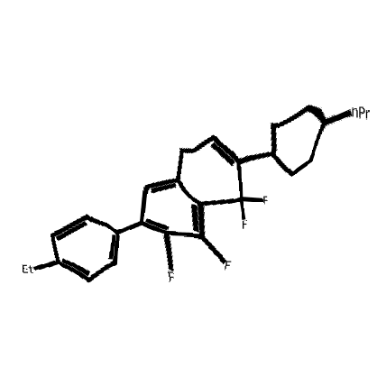 CCCC1CCC(C2=CCc3cc(-c4ccc(CC)cc4)c(F)c(F)c3C2(F)F)CC1